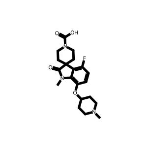 CN1CCC(Oc2ccc(F)c3c2N(C)C(=O)C32CCN(C(=O)O)CC2)CC1